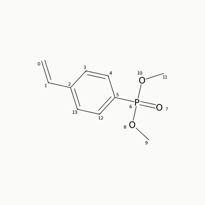 C=Cc1ccc(P(=O)(OC)OC)cc1